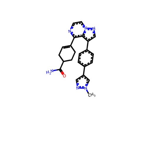 Cn1cc(-c2ccc(-c3cnn4ccnc(C5=CCC(C(N)=O)CC5)c34)cc2)cn1